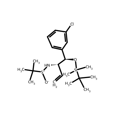 C=C[C@H](N[S+]([O-])C(C)(C)C)[C@H](O[Si](C)(C)C(C)(C)C)c1cccc(Cl)c1